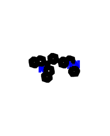 c1cc(-c2ccc3c(ccc4nc5ccccc5n43)c2)cc(-c2c3ccc4ccccc4c3nc3c2ccc2ccccc23)c1